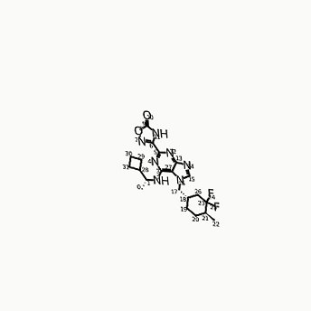 C[C@@H](Nc1nc(-c2noc(=O)[nH]2)nc2ncn(C[C@H]3CC[C@H](C)C(F)(F)C3)c12)C1CCC1